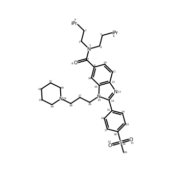 CC(C)CCN(CCC(C)C)C(=O)c1ccc2nc(-c3ccc(S(C)(=O)=O)cc3)n(CCCN3CCCCC3)c2c1